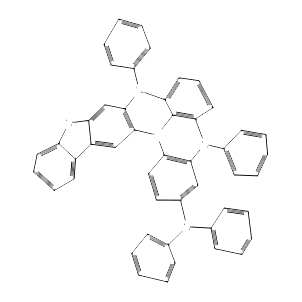 c1ccc(N(c2ccccc2)c2ccc3c(c2)N(c2ccccc2)c2cccc4c2B3c2cc3c(cc2N4c2ccccc2)[nH]c2ccccc23)cc1